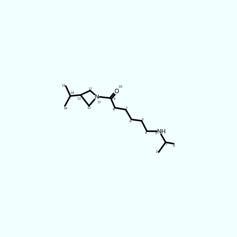 CC(C)NCCCCCC(=O)N1CC(C(C)C)C1